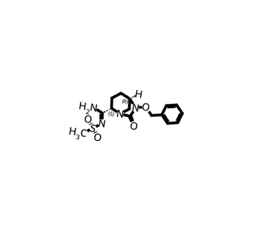 CS(=O)(=O)N=C(N)[C@@H]1CC[C@@H]2CN1C(=O)N2OCc1ccccc1